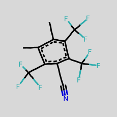 Cc1c(C)c(C(F)(F)F)c(C(F)(F)F)c(C#N)c1C(F)(F)F